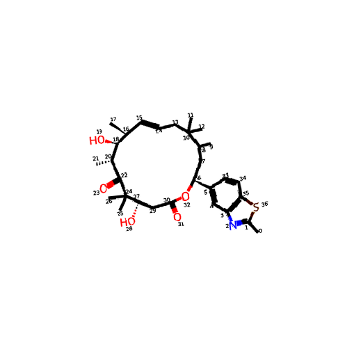 Cc1nc2cc([C@@H]3CC(C)C(C)(C)C/C=C/[C@H](C)[C@H](O)[C@@H](C)C(=O)C(C)(C)[C@@H](O)CC(=O)O3)ccc2s1